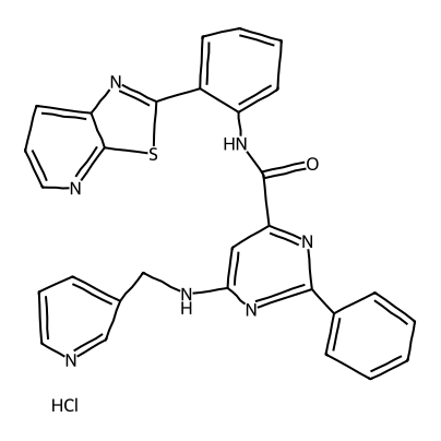 Cl.O=C(Nc1ccccc1-c1nc2cccnc2s1)c1cc(NCc2cccnc2)nc(-c2ccccc2)n1